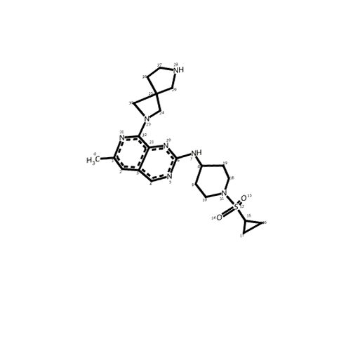 Cc1cc2cnc(NC3CCN(S(=O)(=O)C4CC4)CC3)nc2c(N2CC3(CCNC3)C2)n1